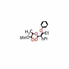 C=C(OC(=O)C(CCC)=C(CC)Oc1ccccc1)C(=O)OC